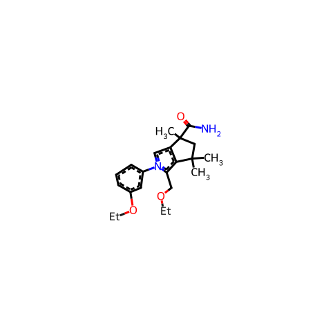 CCOCc1c2c(cn1-c1cccc(OCC)c1)C(C)(C(N)=O)CC2(C)C